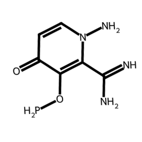 N=C(N)c1c(OP)c(=O)ccn1N